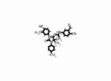 Cc1ccc(N2C(=S)N(c3ccc(C#N)c(C)c3)C(=NC(=S)Nc3ccc(C#N)c(CF)c3)C2(C)C)cc1